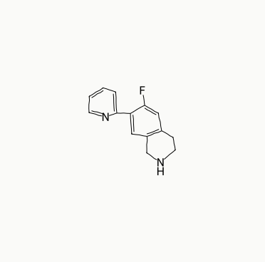 Fc1cc2c(cc1-c1ccccn1)CNCC2